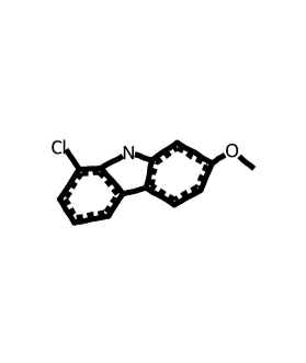 COc1ccc2c(c1)[N]c1c(Cl)cccc1-2